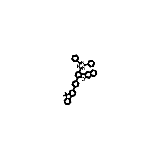 CC1(C)c2ccccc2-c2ccc(-c3ccc(-c4ccc(-c5nc(-c6ccccc6)nc(-c6ccccc6)n5)c5c4oc4cc6ccccc6cc45)cc3)cc21